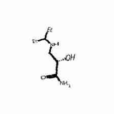 CCC(CC)NC[C@H](O)C(N)=O